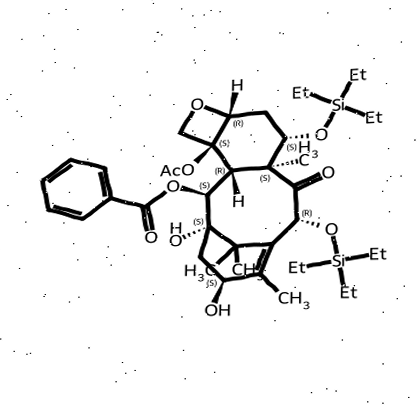 CC[Si](CC)(CC)O[C@H]1C(=O)[C@]2(C)[C@@H](O[Si](CC)(CC)CC)C[C@H]3OC[C@@]3(OC(C)=O)[C@H]2[C@H](OC(=O)c2ccccc2)[C@]2(O)C[C@H](O)C(C)=C1C2(C)C